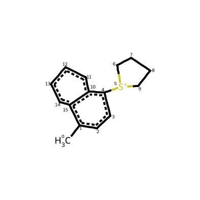 Cc1ccc([S+]2CCCC2)c2ccccc12